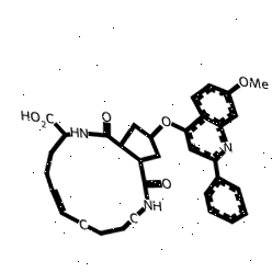 COc1ccc2c(OC3CC4C(=O)NCCCCC=CCCC(C(=O)O)NC(=O)C4C3)cc(-c3ccccc3)nc2c1